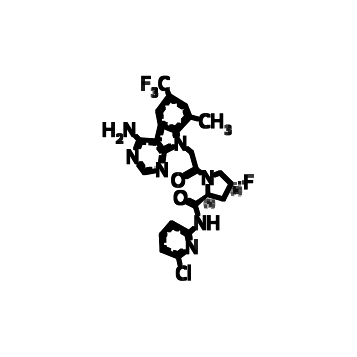 Cc1cc(C(F)(F)F)cc2c3c(N)ncnc3n(CC(=O)N3C[C@H](F)C[C@H]3C(=O)Nc3cccc(Cl)n3)c12